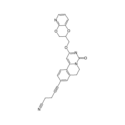 N#CCCC#Cc1ccc2c(c1)CCn1c-2cc(OCC2COc3ncccc3O2)nc1=O